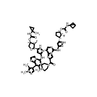 Cc1nc(Nc2cc([C@H]3OC[C@@H](OC(=O)NC4(C)CC4)[C@H]3F)[nH][n+]2-c2cnc(Nc3cc([C@@H]4CC[C@H](OC(=O)NC56CC(C5)C6)[C@@H]4F)[nH]n3)n3cc(C(=O)N4CCNCC4)nc23)n2ccnc2c1-c1cnn(C)c1C